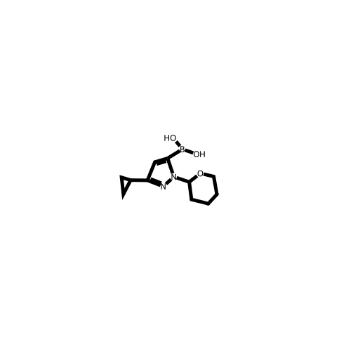 OB(O)c1cc(C2CC2)nn1C1CCCCO1